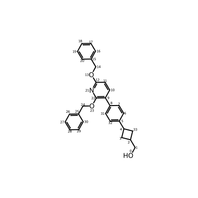 OCC1CC(c2ccc(-c3ccc(OCc4ccccc4)nc3OCc3ccccc3)cc2)C1